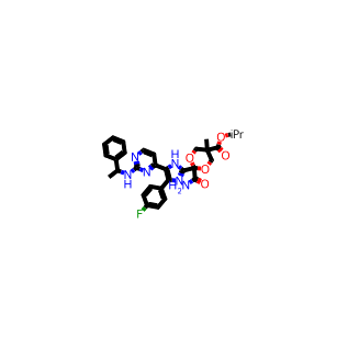 CC(C)OC(=O)C1(C)COC(C(N)=O)(c2nc(-c3ccc(F)cc3)c(-c3ccnc(NC(C)c4ccccc4)n3)[nH]2)OC1